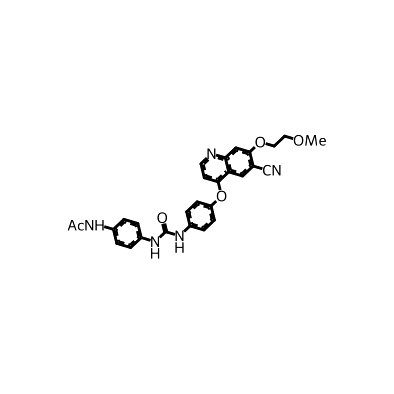 COCCOc1cc2nccc(Oc3ccc(NC(=O)Nc4ccc(NC(C)=O)cc4)cc3)c2cc1C#N